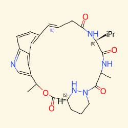 CC1NC(=O)[C@H](C(C)C)NC(=O)C/C=C/c2ccc3ncc(cc3c2)C(C)OC(=O)[C@@H]2CCCN(N2)C1=O